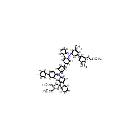 CCCCCCCCCCCCc1cc(C)cc(-c2cc(C)cc(-n3c4ccccc4c4cc(-c5ccc(N(c6ccc(-c7ccccc7)cc6)c6ccc7c(c6)C(CCCCCCCCCCCC)(CCCCCCCCCCCC)c6ccccc6-7)cc5)ccc43)c2)c1